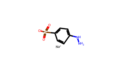 NNc1ccc(S(=O)(=O)[O-])cc1.[Na+]